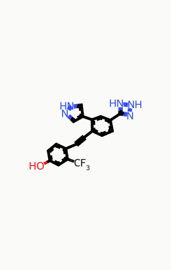 Oc1ccc(C#Cc2ccc(-c3n[nH][nH]3)cc2-c2cn[nH]c2)c(C(F)(F)F)c1